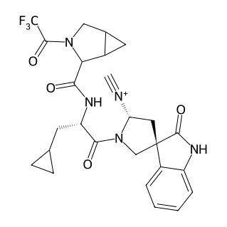 C#[N+][C@@H]1C[C@@]2(CN1C(=O)[C@H](CC1CC1)NC(=O)C1C3CC3CN1C(=O)C(F)(F)F)C(=O)Nc1ccccc12